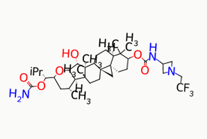 CC(C)[C@@H](OC(N)=O)C1C[C@@H](C)[C@H]2C(O1)[C@H](O)[C@@]1(C)C3CC[C@H]4C(C)(C)C(OC(=O)NC5CN(CC(F)(F)F)C5)CC[C@@]45C[C@@]35CC[C@]21C